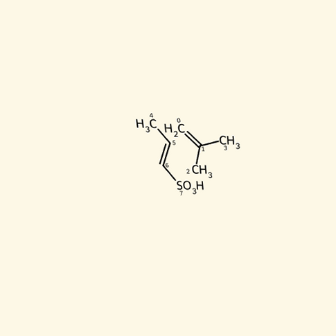 C=C(C)C.CC=CS(=O)(=O)O